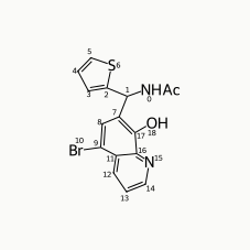 CC(=O)NC(c1cccs1)c1cc(Br)c2cccnc2c1O